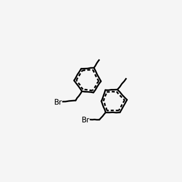 Cc1ccc(CBr)cc1.Cc1ccc(CBr)cc1